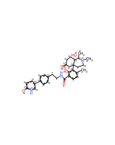 Cc1ccc(C(=O)NCCc2ccc(-c3ccc(=O)[nH]c3)cc2)c(O)c1C12CCN(C)C(C)[C@]1(O)CCC(=O)C2